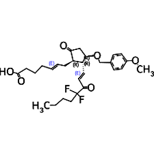 CCCCC(F)(F)C(=O)/C=C/[C@H]1[C@H](OCc2ccc(OC)cc2)CC(=O)[C@@H]1C/C=C/CCCC(=O)O